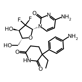 CCC1(c2ccc(N)cc2)CCC(=O)NC1=O.Nc1ccn([C@@H]2O[C@H](CO)[C@@H](O)C2(F)F)c(=O)n1